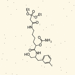 CCOP(=O)(CC(=O)NCCCCC(OC(N)=O)C(=O)NC(CO)Cc1cccc(C)c1)OCC